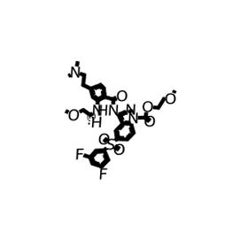 COCCOC(=O)n1nc(NC(=O)c2ccc(CCN(C)C)cc2N[C@H](C)COC)c2cc(S(=O)(=O)c3cc(F)cc(F)c3)ccc21